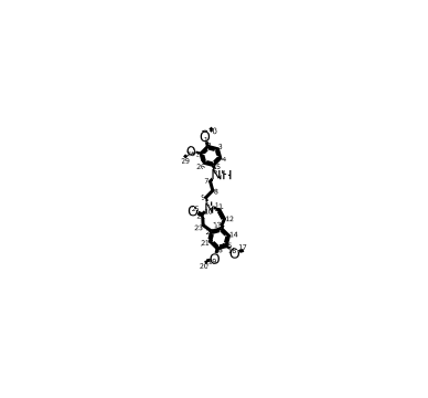 COc1ccc(NCCCN2C=Cc3cc(OC)c(OC)cc3CC2=O)cc1OC